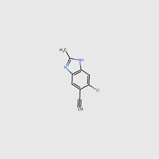 C#Cc1cc2nc(C)[nH]c2cc1Cl